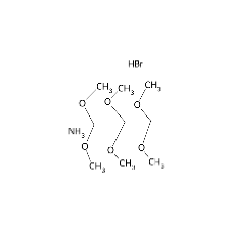 Br.COCOC.COCOC.COCOC.N